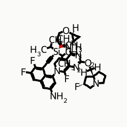 [2H]C([2H])(Oc1nc(N2CCCO[C@H]3C[C@H]32)c2c(n1)=C(F)N(c1cc(N)cc3cc(F)c(F)c(C#C[Si](C(C)C)(C(C)C)C(C)C)c13)CC=2)[C@@]12CCCN1C[C@H](F)C2